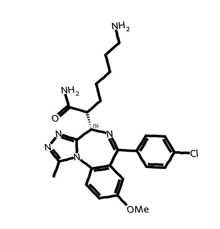 COc1ccc2c(c1)C(c1ccc(Cl)cc1)=N[C@@H](C(CCCCCN)C(N)=O)c1nnc(C)n1-2